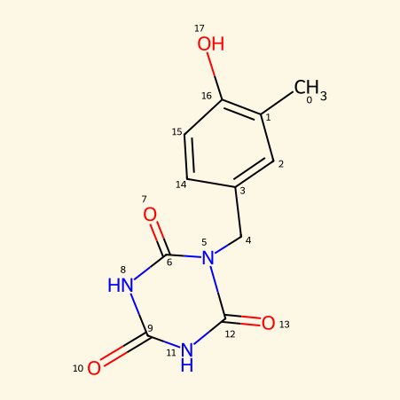 Cc1cc(Cn2c(=O)[nH]c(=O)[nH]c2=O)ccc1O